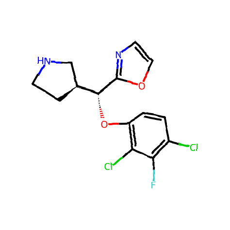 Fc1c(Cl)ccc(O[C@@H](c2ncco2)[C@H]2CCNC2)c1Cl